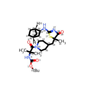 CC(C)(C)OC(=O)NC(C)(C)C(=O)N1CCC(CC2(C)SC(N[C@H]3C[C@@H]4CC[C@H]3C4)=NC2=O)CC1